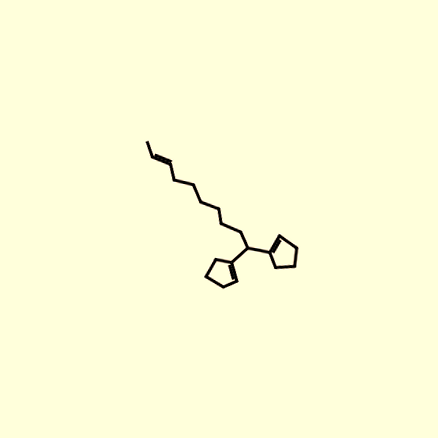 CC=CCCCCCCC(C1=CCCC1)C1=CCCC1